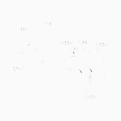 COC(=O)[C@H]1[C@@H](O)[C@@]2(O)c3c(OC)cc(OC4O[C@@H]([C@H](O)CO)CO[C@H]4OC)cc3O[C@@]2(c2ccc(OC)cc2)[C@@H]1c1ccccc1